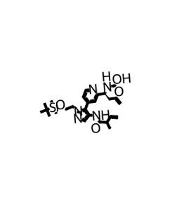 C=CC[C@H](NC(=O)O)c1cc(-c2c(NC(=O)C(C)C=C)cnn2CCO[Si](C)(C)C(C)(C)C)ccn1